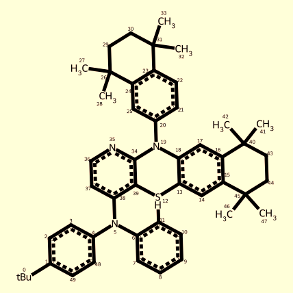 CC(C)(C)c1ccc(N2c3ccccc3[SH]3c4cc5c(cc4N(c4ccc6c(c4)C(C)(C)CCC6(C)C)c4nccc2c43)C(C)(C)CCC5(C)C)cc1